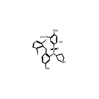 COc1ccc(Cc2c(F)cccc2F)c(N([C@H]2CCNC2)S(=O)(=O)c2ccc(OC)c(OC)c2)c1.Cl